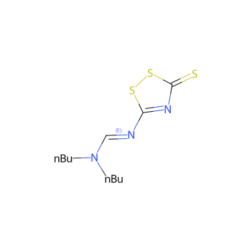 CCCCN(/C=N/c1nc(=S)ss1)CCCC